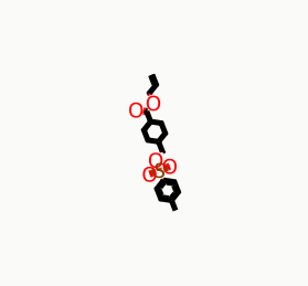 C=CCOC(=O)C1CCC(COS(=O)(=O)c2ccc(C)cc2)CC1